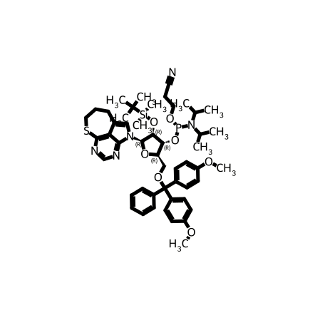 COc1ccc(C(OC[C@H]2O[C@@H](n3cc4c5c(ncnc53)SCCC4)[C@H](O[Si](C)(C)C(C)(C)C)[C@@H]2OP(OCCC#N)N(C(C)C)C(C)C)(c2ccccc2)c2ccc(OC)cc2)cc1